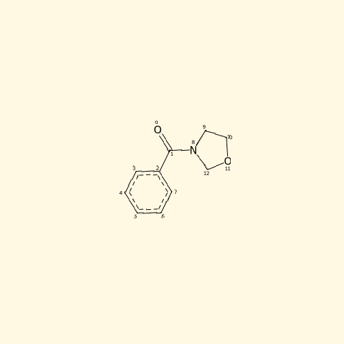 O=C(c1ccccc1)N1CCOC1